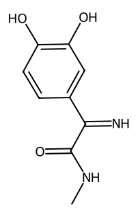 CNC(=O)C(=N)c1ccc(O)c(O)c1